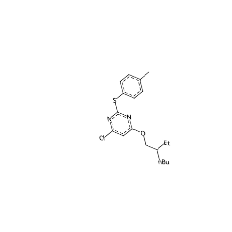 CCCCC(CC)COc1cc(Cl)nc(Sc2ccc(C)cc2)n1